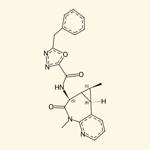 C[C@@H]1C2[C@H](NC(=O)c3nnc(Cc4ccccc4)o3)C(=O)N(C)c3ncccc3[C@@H]21